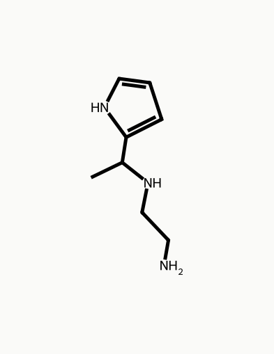 CC(NCCN)c1ccc[nH]1